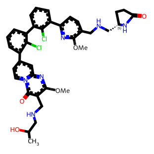 COc1nc(-c2cccc(-c3cccc(-c4ccn5c(=O)c(CNCC(C)O)c(OC)nc5c4)c3Cl)c2Cl)ccc1CNC[C@@H]1CCC(=O)N1